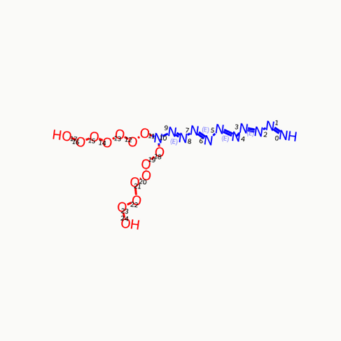 N=N/N=N/N=N/N=N/N=N/N(OOOOOOO)OOOOOOO